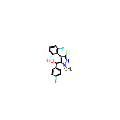 Cn1nc(Cl)c(-c2c(F)cccc2F)c1C(O)c1ccc(F)cc1